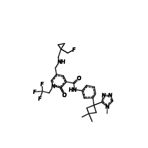 Cn1cnnc1C1(c2cccc(NC(=O)c3cc(CNCC4(CF)CC4)cn(CC(F)(F)F)c3=O)c2)CC(C)(C)C1